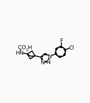 O=C(O)NC12CC(c3cn(-c4ccc(Cl)c(F)c4)nn3)(C1)C2